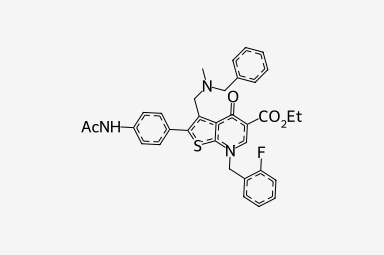 CCOC(=O)c1cn(Cc2ccccc2F)c2sc(-c3ccc(NC(C)=O)cc3)c(CN(C)Cc3ccccc3)c2c1=O